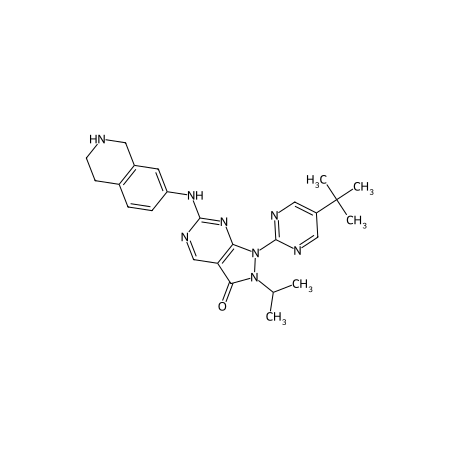 CC(C)n1c(=O)c2cnc(Nc3ccc4c(c3)CNCC4)nc2n1-c1ncc(C(C)(C)C)cn1